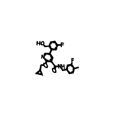 Cc1ccc(CNC(=O)c2cc(-c3cc(F)ccc3CO)cnc2OCC2CC2)cc1F